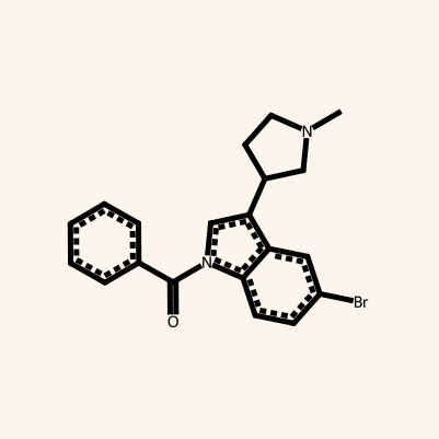 CN1CCC(c2cn(C(=O)c3ccccc3)c3ccc(Br)cc23)C1